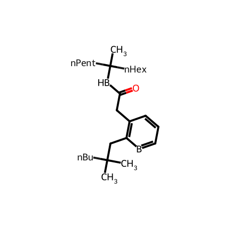 CCCCCCC(C)(BC(=O)Cc1cccbc1CC(C)(C)CCCC)CCCCC